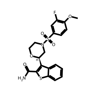 COc1ccc(S(=O)(=O)N2CCO[C@H](c3c(C(N)=O)sc4ccccc34)C2)cc1F